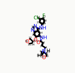 O=C(/C=C/CN1C[C@@H]2C[C@H]1CO2)Nc1cc2c(Nc3ccc(F)c(Cl)c3)ncnc2cc1O[C@H]1CCOC1